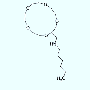 CCCCCCNCC1COCCOCCOCCOCCO1